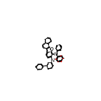 c1ccc(-c2cccc(N(c3ccccc3)c3ccc4c(oc5c6ccccc6ccc45)c3N(c3ccccc3)c3ccccc3)c2)cc1